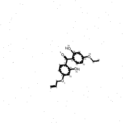 C=CCOc1ccc(C(=O)c2ccc(OCC)cc2O)c(O)c1